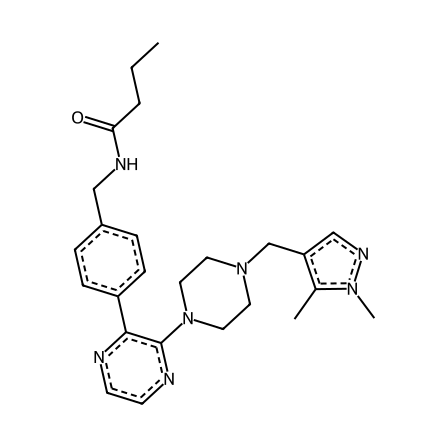 CCCC(=O)NCc1ccc(-c2nccnc2N2CCN(Cc3cnn(C)c3C)CC2)cc1